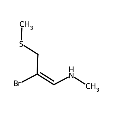 CN/C=C(/Br)CSC